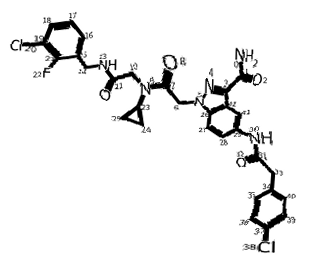 NC(=O)c1nn(CC(=O)N(CC(=O)NCc2cccc(Cl)c2F)C2CC2)c2ccc(NC(=O)Cc3ccc(Cl)cc3)cc12